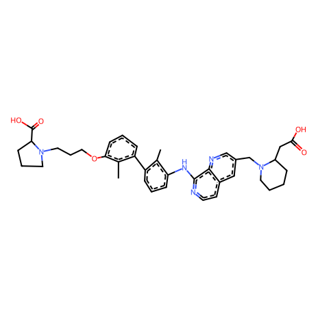 Cc1c(Nc2nccc3cc(CN4CCCCC4CC(=O)O)cnc23)cccc1-c1cccc(OCCCN2CCCC2C(=O)O)c1C